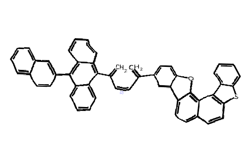 C=C(/C=C\C(=C)c1c2ccccc2c(-c2ccc3ccccc3c2)c2ccccc12)C1=CC=C2Oc3c(ccc4ccc5sc6ccccc6c5c34)C2C1